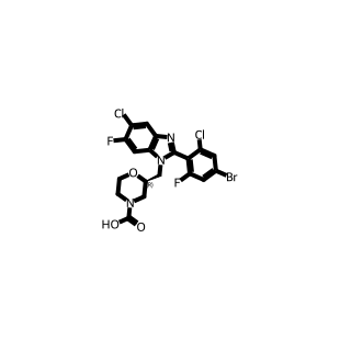 O=C(O)N1CCO[C@@H](Cn2c(-c3c(F)cc(Br)cc3Cl)nc3cc(Cl)c(F)cc32)C1